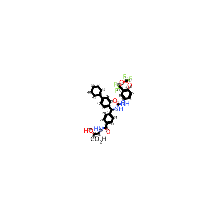 O=C(Nc1ccc2c(c1)C(F)(F)OC(F)(F)O2)NC(c1ccc(C(=O)NCC(O)C(=O)O)cc1)c1ccc(C2CCCCC2)cc1